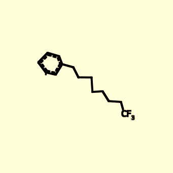 FC(F)(F)CCCCCCCc1c[c]ccc1